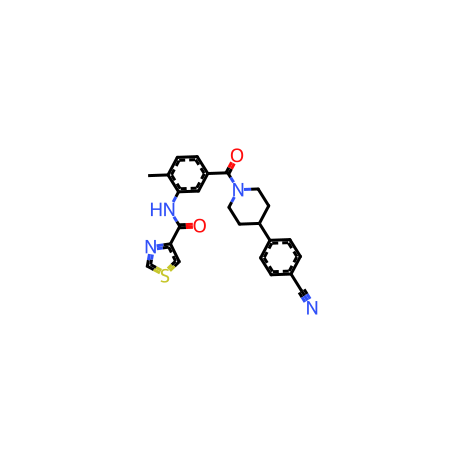 Cc1ccc(C(=O)N2CCC(c3ccc(C#N)cc3)CC2)cc1NC(=O)c1cscn1